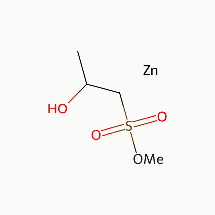 COS(=O)(=O)CC(C)O.[Zn]